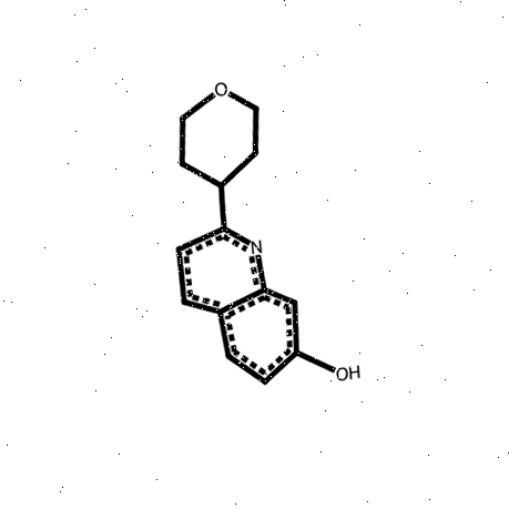 Oc1ccc2ccc(C3CCOCC3)nc2c1